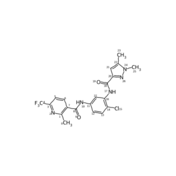 Cc1nc(C(F)(F)F)ccc1C(=O)Nc1ccc(Cl)c(NC(=O)c2cc(C)n(C)n2)c1